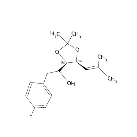 CC(C)=C[C@@H]1OC(C)(C)O[C@@H]1C(O)Cc1ccc(F)cc1